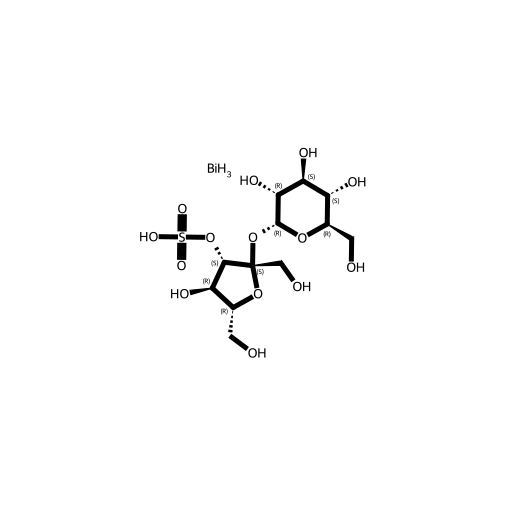 O=S(=O)(O)O[C@H]1[C@H](O)[C@@H](CO)O[C@@]1(CO)O[C@H]1O[C@H](CO)[C@@H](O)[C@H](O)[C@H]1O.[BiH3]